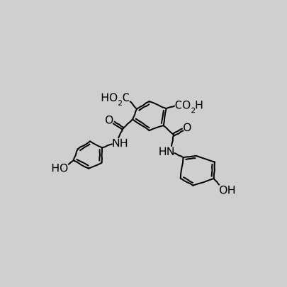 O=C(O)c1cc(C(=O)O)c(C(=O)Nc2ccc(O)cc2)cc1C(=O)Nc1ccc(O)cc1